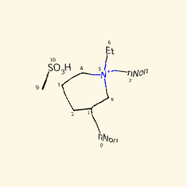 CCCCCCCCCC1CCC[N+](CC)(CCCCCCCCC)C1.CS(=O)(=O)O